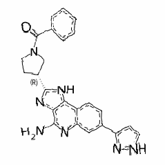 Nc1nc2cc(-c3cc[nH]n3)ccc2c2[nH]c([C@@H]3CCN(C(=O)c4ccccc4)C3)nc12